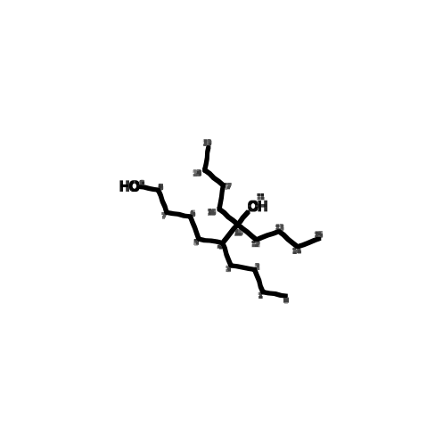 CCCCC(CCCCO)C(O)(CCCC)CCCC